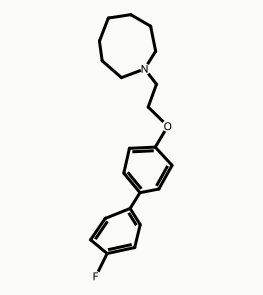 Fc1ccc(-c2ccc(OCCN3CCCCCCC3)cc2)cc1